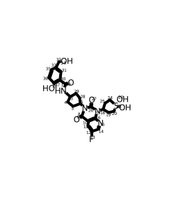 O=C(NC1CCC(n2c(=O)c3cc(F)cnc3n(C3CCS(O)(O)CC3)c2=O)CC1)c1cc(CO)ccc1O